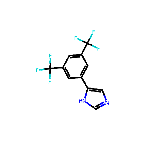 FC(F)(F)c1cc(-c2cn[c][nH]2)cc(C(F)(F)F)c1